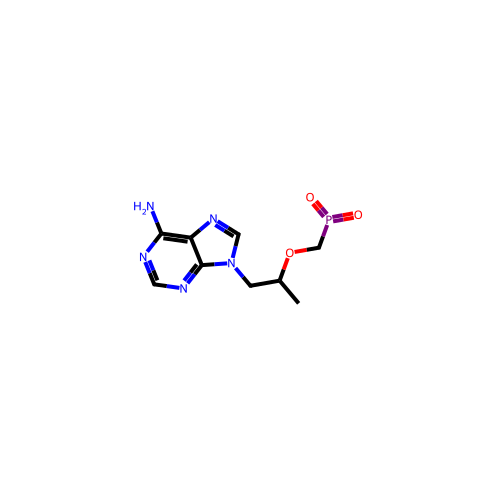 CC(Cn1cnc2c(N)ncnc21)OCP(=O)=O